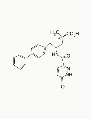 C[C@H](CC(Cc1ccc(-c2ccccc2)cc1)NC(=O)c1ccc(=O)[nH]n1)C(=O)O